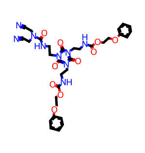 N#CCN(CC#N)C(=O)NCCn1c(=O)n(CCNC(=O)OCCOc2ccccc2)c(=O)n(CCNC(=O)OCCOc2ccccc2)c1=O